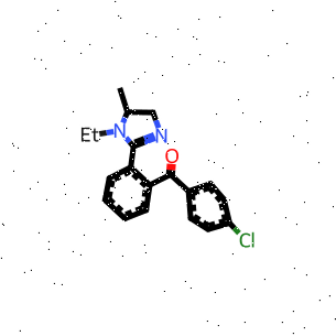 CCN1C(c2ccccc2C(=O)c2ccc(Cl)cc2)=NCC1C